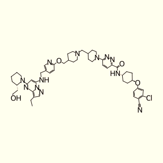 CCc1cnn2c(NCc3ccc(OCC4CCN(CC5CCN(c6ccc(C(=O)N[C@H]7CC[C@H](Oc8ccc(C#N)c(Cl)c8)CC7)nn6)CC5)CC4)nc3)cc(N3CCCC[C@H]3CCO)nc12